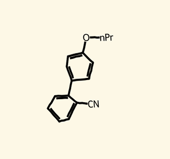 CCCOc1ccc(-c2ccccc2C#N)cc1